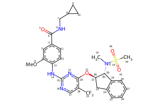 COc1cc(C(=O)NCC2CC2)ccc1Nc1ncc(C(F)(F)F)c(O[C@@H]2Cc3ccccc3[C@H]2N(C)S(C)(=O)=O)n1